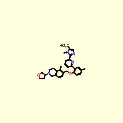 Cc1ccc(OCc2ccc3c(c2C)CCN(C2CCOC2)C3)c(-c2cccc(-c3ncc(C(=O)O)n3C)n2)c1